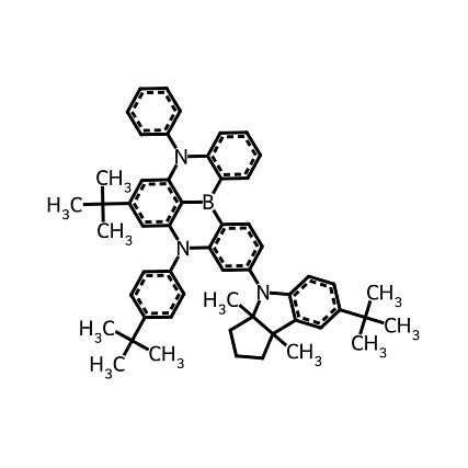 CC(C)(C)c1ccc(N2c3cc(N4c5ccc(C(C)(C)C)cc5C5(C)CCCC45C)ccc3B3c4ccccc4N(c4ccccc4)c4cc(C(C)(C)C)cc2c43)cc1